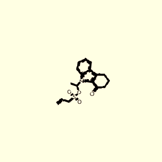 C=CCS(=O)(=O)OC(C)n1c2c(c3ccccc31)CCCC2=O